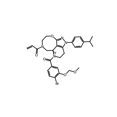 C=CC(=O)N1CCOc2nn(-c3ccc(C(C)C)cc3)c3c2[C@H](C1)N(C(=O)c1ccc(Br)c(OCOC)c1)CC3